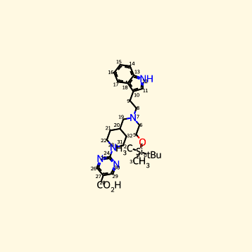 CC(C)(C)[Si](C)(C)OCCN(CCc1c[nH]c2ccccc12)CC1CCN(c2ncc(C(=O)O)cn2)CC1